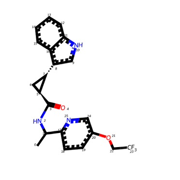 CC(NC(=O)[C@H]1C[C@@H]1c1c[nH]c2ccccc12)c1ccc(OCC(F)(F)F)cn1